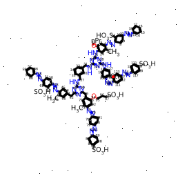 CCCOc1cc(N=Nc2ccc(N=Nc3ccccc3)cc2S(=O)(=O)O)c(C)cc1Nc1nc(NCc2cccc(CNc3nc(Cc4ccc(N=Nc5ccc(N=Nc6ccccc6)cc5S(=O)(=O)O)c(C)c4)nc(Cc4cc(C)c(N=Nc5ccc(N=Nc6ccc(S(=O)(=O)O)cc6)cc5)cc4OCCCS(=O)(=O)O)n3)c2)nc(Nc2ccc(N=Nc3ccc(N=Nc4ccc(S(=O)(=O)O)cc4)cc3)c(C)c2)n1